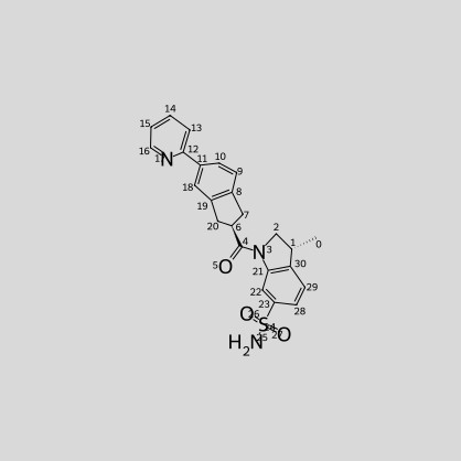 C[C@H]1CN(C(=O)[C@@H]2Cc3ccc(-c4ccccn4)cc3C2)c2cc(S(N)(=O)=O)ccc21